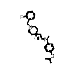 CC(C)Oc1ccc(N(C)CCC2(O)CCN(Cc3ccccc3F)CC2)cc1